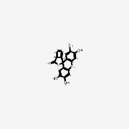 O=C1OC2(c3cc(O)c(O)cc3Oc3cc(O)c(O)cc32)c2ccccc21